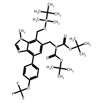 Cn1cnc2c(-c3ccc(OC(F)(F)F)cc3)cc(CN(C(=O)OC(C)(C)C)C(=O)OC(C)(C)C)c(CO[Si](C)(C)C(C)(C)C)c21